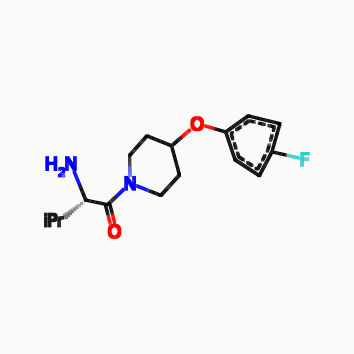 CC(C)[C@H](N)C(=O)N1CCC(Oc2ccc(F)cc2)CC1